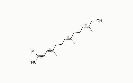 C/C(=C\CC/C(C)=C/CC/C(C)=C/C=C(/C#N)C(C)C)CO